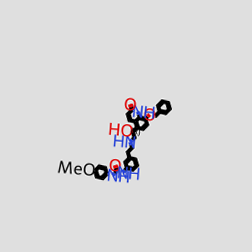 COc1ccc(NC(=O)Nc2cccc(CCNC[C@H](O)c3ccc(OCc4ccccc4)c4[nH]c(=O)ccc34)c2)cc1